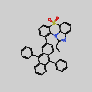 CCc1nc2cccc3c2n1-c1c(-c2ccc4c(-c5ccccc5)c5ccccc5c(-c5ccccc5)c4c2)cccc1S3(=O)=O